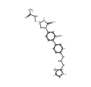 CC(=O)NC[C@H]1CN(c2ccc(-c3ccc(CNCc4ncc[nH]4)cc3)c(F)c2)C(=O)O1